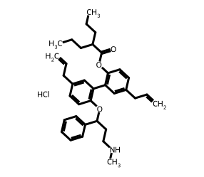 C=CCc1ccc(OC(=O)C(CCC)CCC)c(-c2cc(CC=C)ccc2OC(CCNC)c2ccccc2)c1.Cl